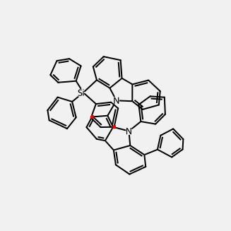 c1ccc(-c2cccc3c4cccc(-n5c6ccccc6c6cccc([Si](c7ccccc7)(c7ccccc7)c7ccccc7)c65)c4n(-c4ccccc4)c23)cc1